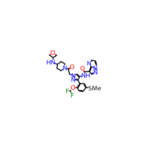 CSc1ccc(OC(F)F)c(-c2nn(CC(=O)N3CCC(NC4COC4)CC3)cc2NC(=O)c2cnn3cccnc23)c1